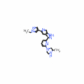 CCn1cc(-c2cc3c(-c4cccc(N5CCNC(C)C5)n4)n[nH]c3cn2)cn1